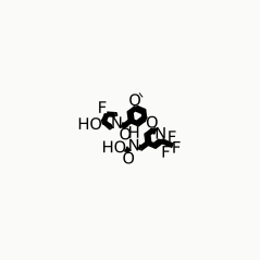 COc1cc(Oc2cc(CNC(=O)O)cc(C(F)(F)F)n2)cc(C(=O)N2CC(O)C(F)C2)c1